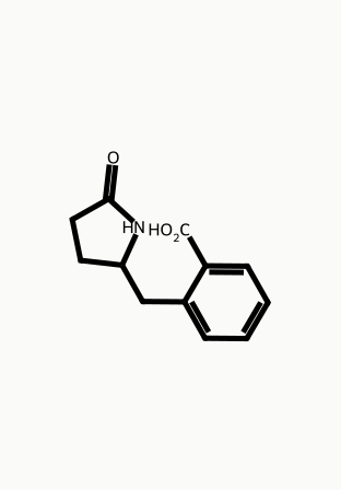 O=C1CCC(Cc2ccccc2C(=O)O)N1